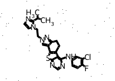 CC(C)c1nccn1CCn1cc2c(n1)CCc1c-2sc2ncnc(Nc3ccc(F)c(Cl)c3)c12